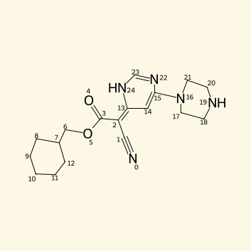 N#CC(C(=O)OCC1CCCCC1)=C1C=C(N2CCNCC2)N=CN1